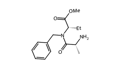 CC[C@@H](C(=O)OC)N(Cc1ccccc1)C(=O)[C@@H](C)N